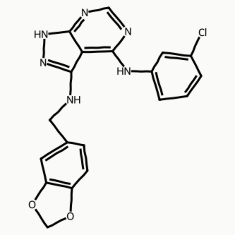 Clc1cccc(Nc2ncnc3[nH]nc(NCc4ccc5c(c4)OCO5)c23)c1